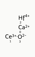 [Ca+2].[Ce+3].[Hf+4].[O-2]